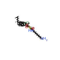 CC(C)CCC[C@@H](C)[C@H]1CC[C@H]2[C@@H]3CC=C4C[C@@H](OC(=O)CSSCC(=O)NCCCCCCCCCCN)CC[C@]4(C)[C@H]3CC[C@]12C.Cl